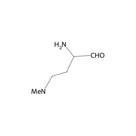 CNCCC(N)C=O